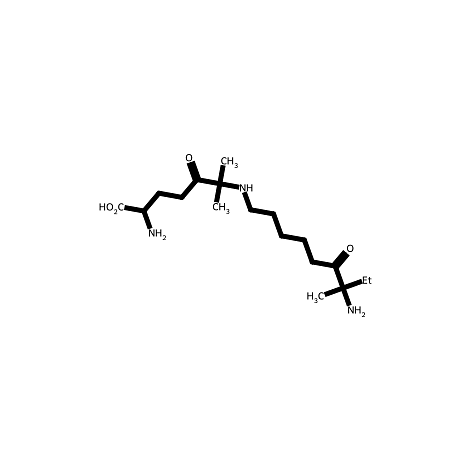 CCC(C)(N)C(=O)CCCCCNC(C)(C)C(=O)CCC(N)C(=O)O